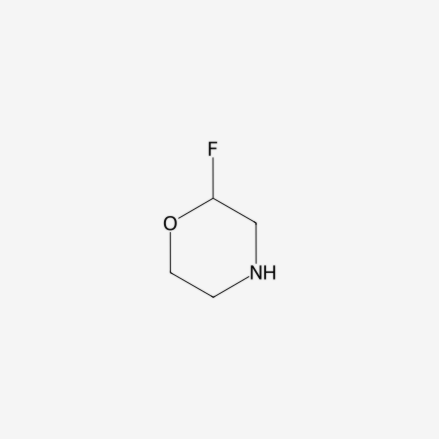 FC1CNCCO1